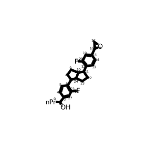 CCCC(O)c1ccc(C2CCC3C(c4ccc(C5CO5)cc4F)CCC23)c(F)c1